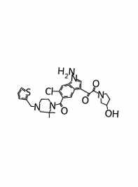 CC1(C)CN(Cc2cccs2)CCN1C(=O)c1cc2c(C(=O)C(=O)N3CCC(O)C3)cn(N)c2cc1Cl